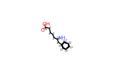 NC(CCCCC(=O)O)Cc1ccccc1